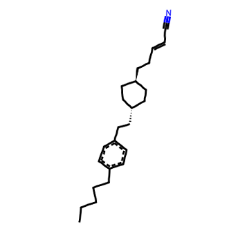 CCCCCc1ccc(CC[C@H]2CC[C@H](CCC=CC#N)CC2)cc1